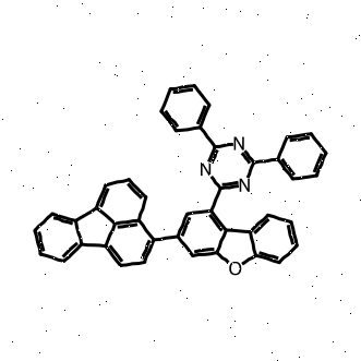 c1ccc(-c2nc(-c3ccccc3)nc(-c3cc(-c4ccc5c6c(cccc46)-c4ccccc4-5)cc4oc5ccccc5c34)n2)cc1